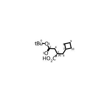 CC(C)(C)OC(=O)C[C@@H](CC1CCC1)C(=O)O